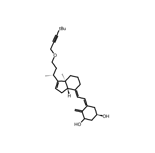 C=C1/C(=C\C=C2/CCC[C@]3(C)C([C@H](C)CCOCC#CC(C)(C)C)=CC[C@@H]23)C[C@@H](O)CC1O